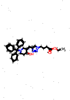 CCOC(=O)CCCn1cc(/C=C2/CN(C(c3ccccc3)(c3ccccc3)c3ccccc3)CCC2O)nn1